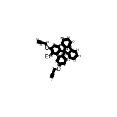 C#CCOc1ccc(C2(c3ccc(OCC#C)c(CC)c3)c3ccccc3-c3ccccc32)cc1